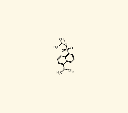 CC(C)OS(=O)(=O)c1cccc2c(N(C)C)cccc12